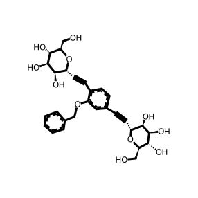 OC[C@H]1O[C@H](C#Cc2ccc(C#C[C@H]3O[C@H](CO)[C@@H](O)[C@H](O)[C@@H]3O)c(OCc3ccccc3)c2)[C@@H](O)[C@@H](O)[C@@H]1O